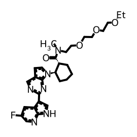 CCOCCOCCOCCN(C)C(=O)[C@@H]1CCCC[C@H]1n1ccc2cnc(-c3c[nH]c4ncc(F)cc34)nc21